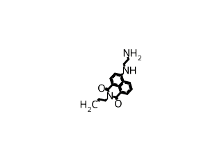 C=CCN1C(=O)c2cccc3c(NCCN)ccc(c23)C1=O